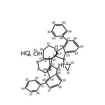 C1=C(C2CCCCC2)[CH]([Hf]2([CH]3C(C4CCCCC4)=Cc4c(-c5ccccc5)cccc43)[CH2][CH2]2)c2cccc(-c3ccccc3)c21.Cl.Cl